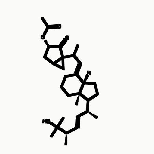 CC(=O)O[C@H]1CC2CC2(C(C)/C=C2\CCC[C@]3(C)C([C@H](C)/C=C/[C@H](C)C(C)(C)O)CC[C@@H]23)C1=O